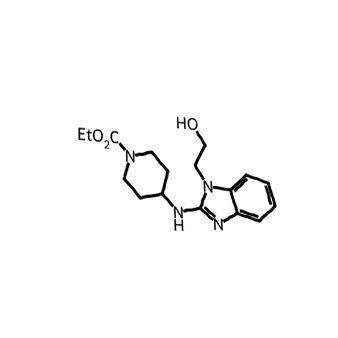 CCOC(=O)N1CCC(Nc2nc3ccccc3n2CCO)CC1